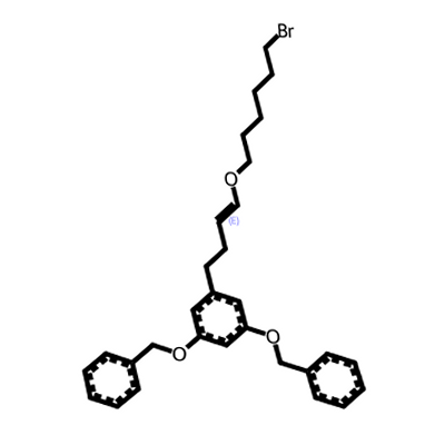 BrCCCCCCO/C=C/CCc1cc(OCc2ccccc2)cc(OCc2ccccc2)c1